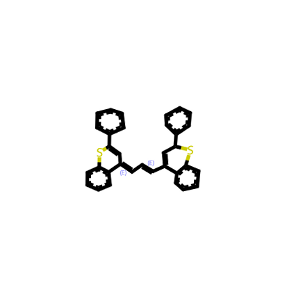 C1=C(c2ccccc2)Sc2ccccc2/C1=C/C=C/C1=CC(c2ccccc2)Sc2ccccc21